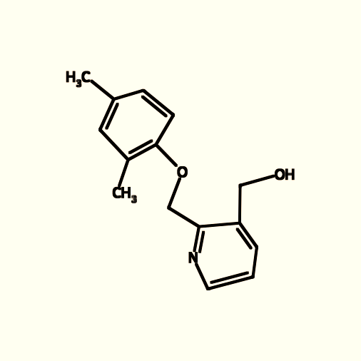 Cc1ccc(OCc2ncccc2CO)c(C)c1